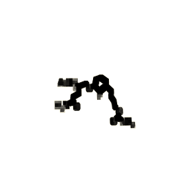 CC(=O)N[C@@H](CCC(N)=O)COc1cccc(CCCCOC(N)=O)c1F